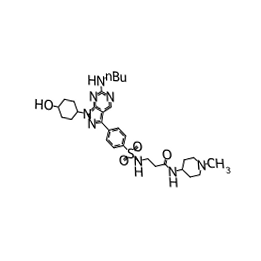 CCCCNc1ncc2c(-c3ccc(S(=O)(=O)NCCC(=O)NC4CCN(C)CC4)cc3)nn(C3CCC(O)CC3)c2n1